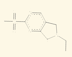 CCN1Cc2cnc(S(C)(=O)=O)nc2C1